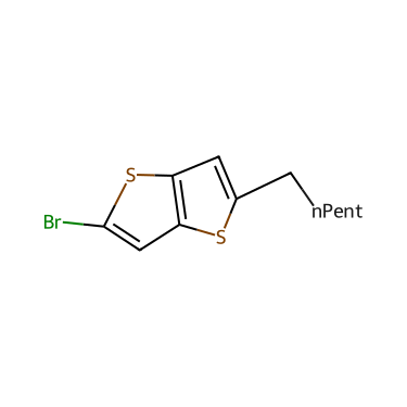 CCCCCCc1cc2sc(Br)cc2s1